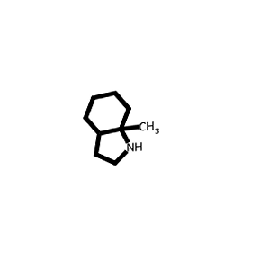 CC12CCCCC1CCN2